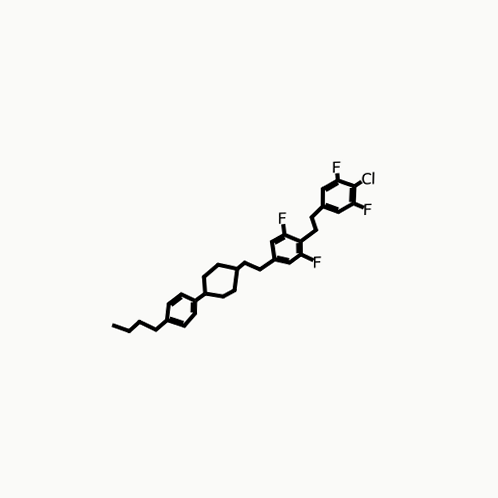 CCCCc1ccc(C2CCC(CCc3cc(F)c(CCc4cc(F)c(Cl)c(F)c4)c(F)c3)CC2)cc1